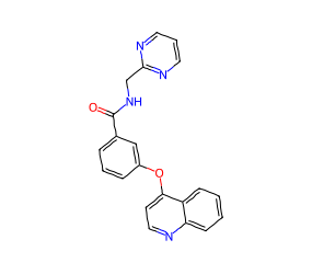 O=C(NCc1ncccn1)c1cccc(Oc2ccnc3ccccc23)c1